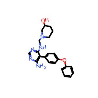 Nc1ncnc(NCN2CCCC(O)C2)c1-c1ccc(Oc2ccccc2)cc1